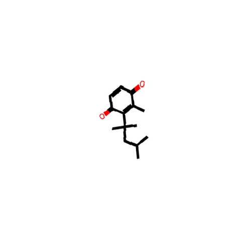 CC1=C(C(C)(C)CC(C)C)C(=O)C=CC1=O